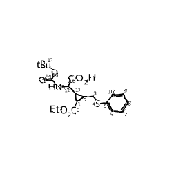 CCOC(=O)C1C(CSc2ccccc2)C1C(NC(=O)OC(C)(C)C)C(=O)O